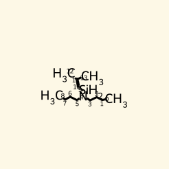 CCCCN(CCCC)[SiH2]C=C(C)C